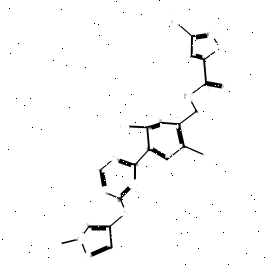 Cc1cc(-c2ncnc(Nc3cnn(C)c3)n2)c(F)cc1CNC(=O)c1cc(C(C)(C)C)no1